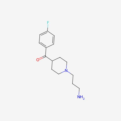 NCCCN1CCC(C(=O)c2ccc(F)cc2)CC1